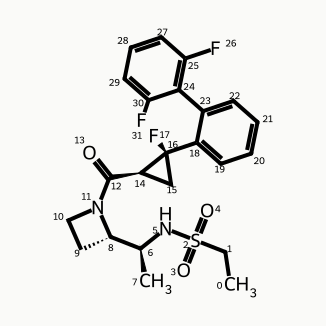 CCS(=O)(=O)N[C@@H](C)[C@@H]1CCN1C(=O)[C@@H]1C[C@@]1(F)c1ccccc1-c1c(F)cccc1F